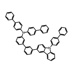 c1ccc(-c2ccc(N(c3ccc(-c4ccccc4)cc3)c3cccc(-c4cccc(-c5ccc6c(c5)c5ccccc5n6-c5ccc(-c6ccccc6)cc5)c4)c3)cc2)cc1